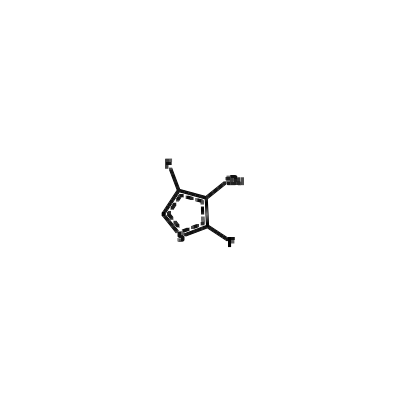 CC(C)(C)c1c(F)csc1F